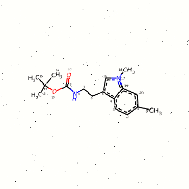 Cc1ccc2c(CCNC(=O)OC(C)(C)C)cn(C)c2c1